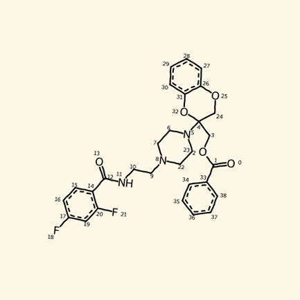 O=C(OCC1(N2CCN(CCNC(=O)c3ccc(F)cc3F)CC2)COc2ccccc2O1)c1ccccc1